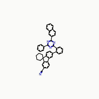 N#Cc1ccc2c(c1)C1(CCCCC1)c1ccc(-c3ccccc3-c3nc(-c4ccccc4)nc(-c4ccc5ccccc5c4)n3)cc1-2